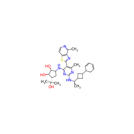 Cc1nc(N[C@H](C)C2CC(C3C=CC=CC3)C2)nc(NC2C[C@H](C(C)(C)O)[C@@H](O)[C@H]2O)c1-c1nc2c(C)nccc2s1